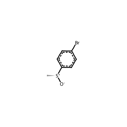 C[S@@+]([O-])c1ccc(Br)cc1